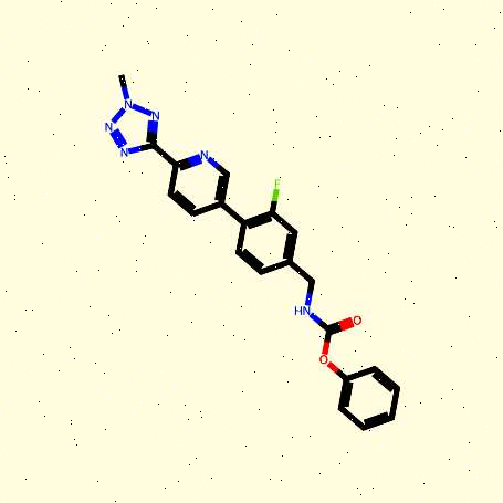 Cn1nnc(-c2ccc(-c3ccc(CNC(=O)Oc4ccccc4)cc3F)cn2)n1